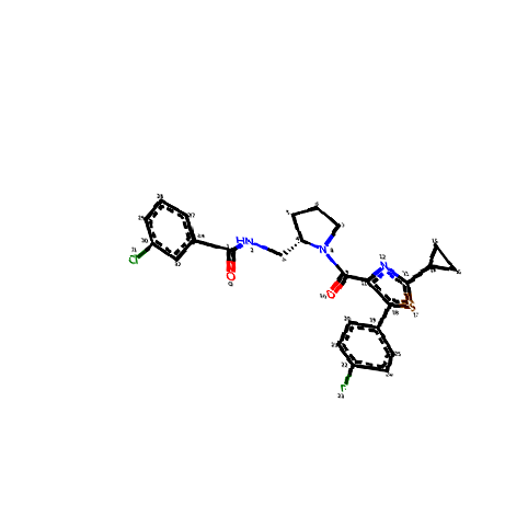 O=C(NC[C@@H]1CCCN1C(=O)c1nc(C2CC2)sc1-c1ccc(F)cc1)c1cccc(Cl)c1